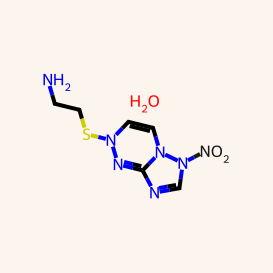 NCCSN1C=CN2C(=N1)N=CN2[N+](=O)[O-].O